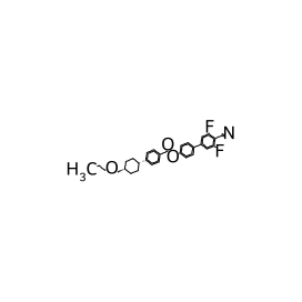 CCCOC[C@H]1CC[C@H](c2ccc(C(=O)Oc3ccc(-c4cc(F)c(C#N)c(F)c4)cc3)cc2)CC1